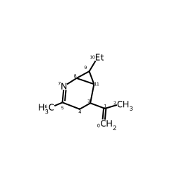 C=C(C)C1CC(C)=NC2C(CC)C12